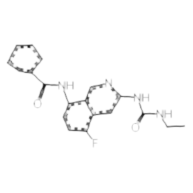 CCNC(=O)Nc1cc2c(F)ccc(NC(=O)c3ccccc3)c2cn1